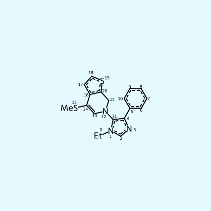 CCn1cnc(-c2ccccc2)c1N1C=C(SC)c2ccsc2C1